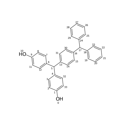 Oc1ccc(C(c2ccc(O)cc2)c2ccc(C(c3ccccc3)c3ccccc3)cc2)cc1